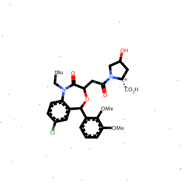 COc1cccc(C2OC(CC(=O)N3CC(O)C[C@@H]3C(=O)O)C(=O)N(CC(C)(C)C)c3ccc(Cl)cc32)c1OC